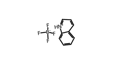 F[B-](F)(F)F.c1ccc2[nH+]cccc2c1